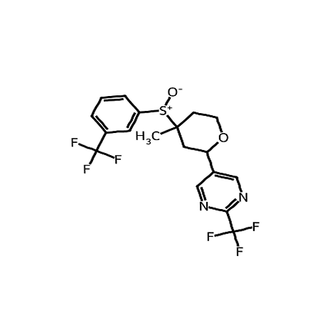 CC1([S+]([O-])c2cccc(C(F)(F)F)c2)CCOC(c2cnc(C(F)(F)F)nc2)C1